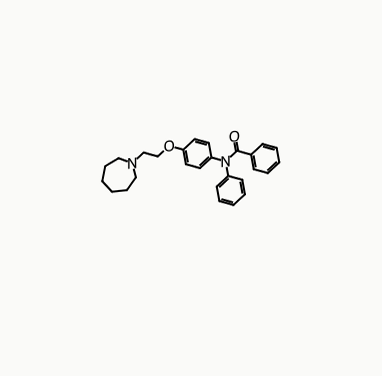 O=C(c1ccccc1)N(c1ccccc1)c1ccc(OCCN2CCCCCC2)cc1